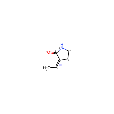 C/C=C1/CCNC1=O